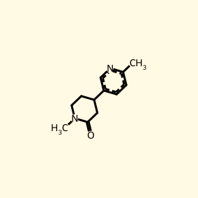 Cc1ccc(C2CCN(C)C(=O)C2)cn1